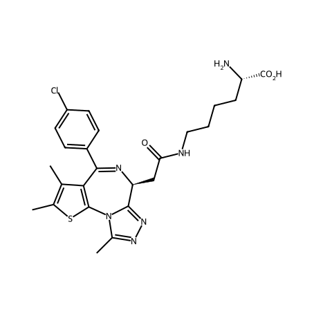 Cc1sc2c(c1C)C(c1ccc(Cl)cc1)=N[C@@H](CC(=O)NCCCC[C@H](N)C(=O)O)c1nnc(C)n1-2